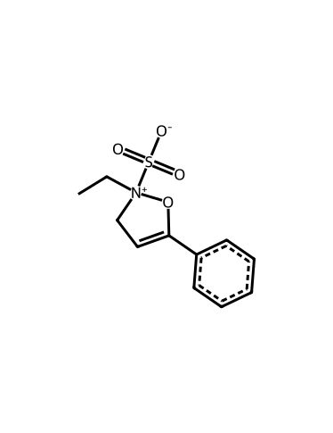 CC[N+]1(S(=O)(=O)[O-])CC=C(c2ccccc2)O1